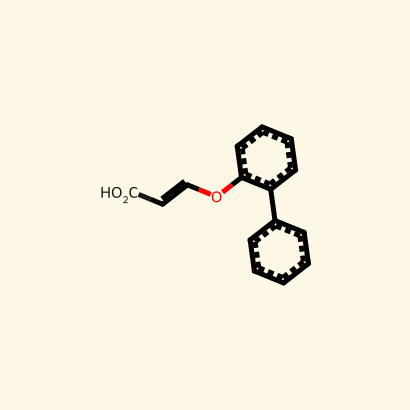 O=C(O)C=COc1ccccc1-c1ccccc1